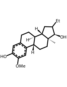 CCC1C[C@H]2[C@@H]3CCc4cc(O)c(OC)cc4[C@H]3CC[C@]2(C)[C@@H]1O